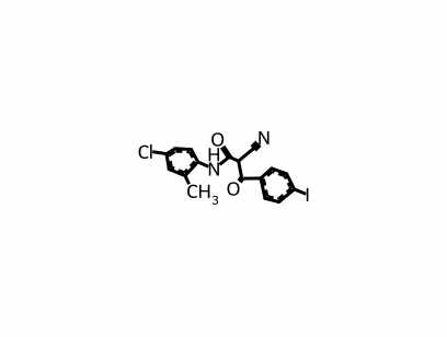 Cc1cc(Cl)ccc1NC(=O)C(C#N)C(=O)c1ccc(I)cc1